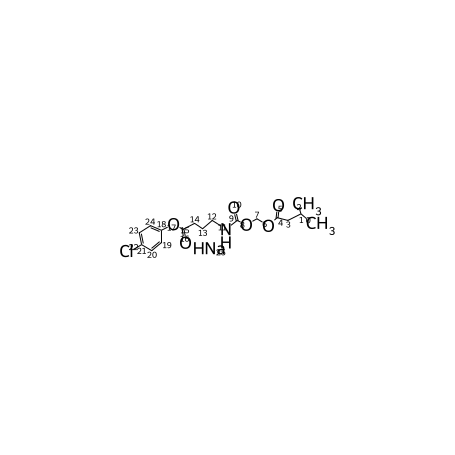 CC(C)CC(=O)OCOC(=O)NCCCC(=O)Oc1ccc(Cl)cc1.[NaH]